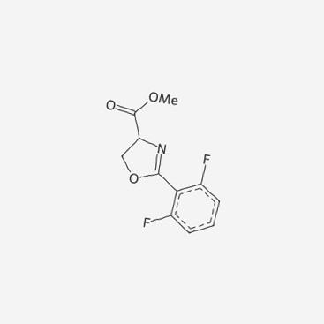 COC(=O)C1COC(c2c(F)cccc2F)=N1